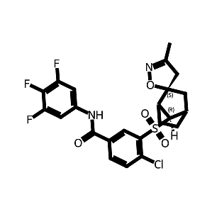 CC1=NO[C@]2(C1)CC1CCC2[C@@H]1S(=O)(=O)c1cc(C(=O)Nc2cc(F)c(F)c(F)c2)ccc1Cl